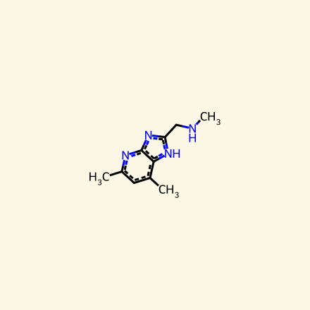 CNCc1nc2nc(C)cc(C)c2[nH]1